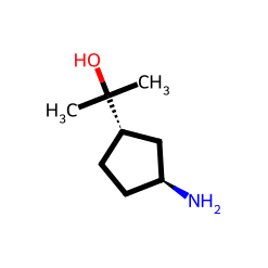 CC(C)(O)[C@H]1CC[C@H](N)C1